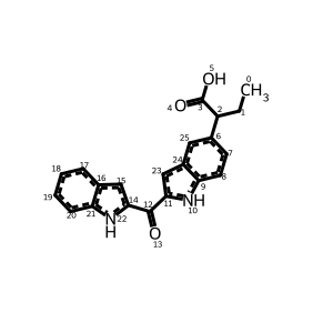 CCC(C(=O)O)c1ccc2[nH]c(C(=O)c3cc4ccccc4[nH]3)cc2c1